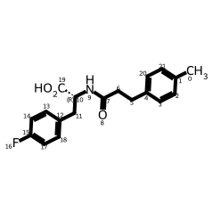 Cc1ccc(CCC(=O)N[C@H](Cc2ccc(F)cc2)C(=O)O)cc1